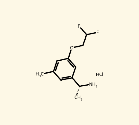 Cc1cc(OCC(F)F)cc([C@@H](C)N)c1.Cl